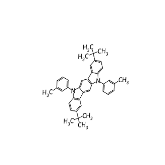 Cc1cccc(-n2c3ccc(C(C)(C)C)cc3c3cc4c(cc32)c2cc(C(C)(C)C)ccc2n4-c2cccc(C)c2)c1